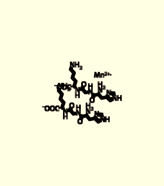 NCCCC[C@H](NC(=O)CNC(=O)[C@@H](N)Cc1c[nH]cn1)C(=O)[O-].NCCCC[C@H](NC(=O)CNC(=O)[C@@H](N)Cc1c[nH]cn1)C(=O)[O-].[Mn+2]